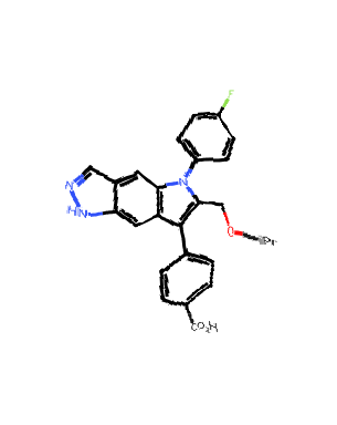 CC(C)OCc1c(-c2ccc(C(=O)O)cc2)c2cc3[nH]ncc3cc2n1-c1ccc(F)cc1